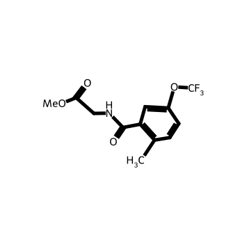 COC(=O)CNC(=O)c1cc(OC(F)(F)F)ccc1C